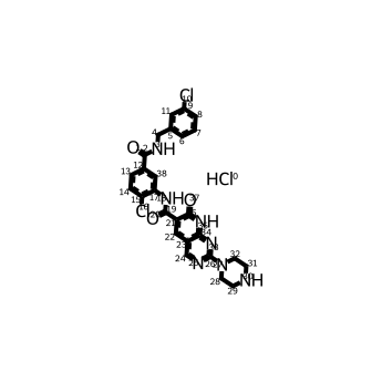 Cl.O=C(NCc1cccc(Cl)c1)c1ccc(Cl)c(NC(=O)c2cc3cnc(N4CCNCC4)nc3[nH]c2=O)c1